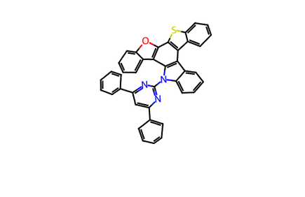 c1ccc(-c2cc(-c3ccccc3)nc(-n3c4ccccc4c4c5c6ccccc6sc5c5oc6ccccc6c5c43)n2)cc1